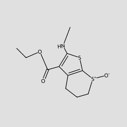 CCOC(=O)c1c(NC)sc2c1CCC[S+]2[O-]